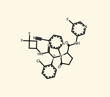 N#Cc1ccnc([N+]2([C@H](C(=O)NC3CC(F)(F)C3)c3ccccc3Cl)C(=O)CCC2C(=O)Nc2cncc(F)c2)c1